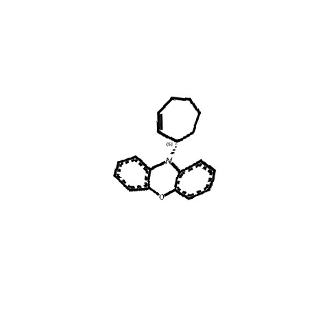 C1=C[C@@H](N2c3ccccc3Oc3ccccc32)CCCC1